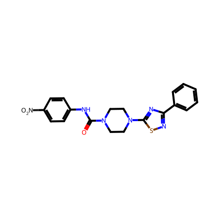 O=C(Nc1ccc([N+](=O)[O-])cc1)N1CCN(c2nc(-c3ccccc3)ns2)CC1